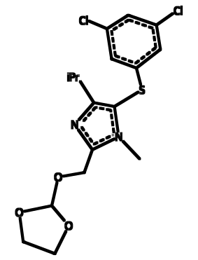 CC(C)c1nc(COC2OCCO2)n(C)c1Sc1cc(Cl)cc(Cl)c1